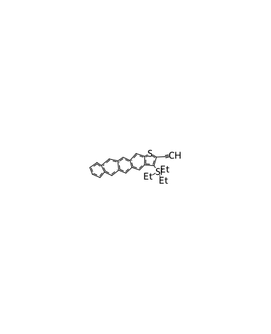 C#Cc1sc2cc3cc4cc5ccccc5cc4cc3cc2c1[Si](CC)(CC)CC